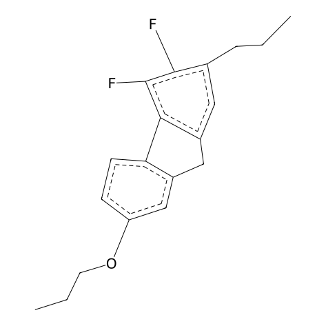 CCCOc1ccc2c(c1)Cc1cc(CCC)c(F)c(F)c1-2